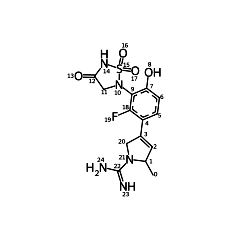 CC1C=C(c2ccc(O)c(N3CC(=O)NS3(=O)=O)c2F)CN1C(=N)N